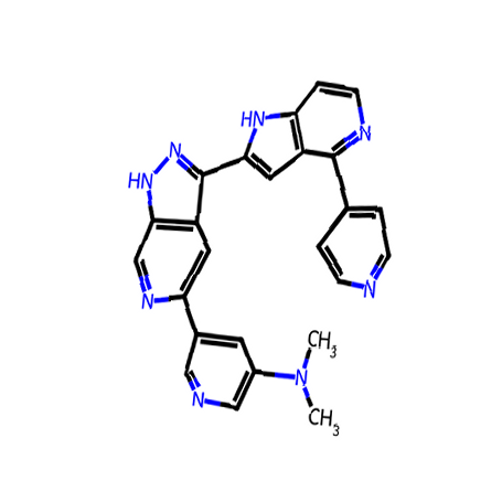 CN(C)c1cncc(-c2cc3c(-c4cc5c(-c6ccncc6)nccc5[nH]4)n[nH]c3cn2)c1